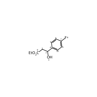 CCOC(=O)CC(O)c1ccc(F)cc1